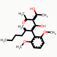 C=C(CCCC)/C(=C(O)\C(C(C)=O)=C(/C)O)c1c(OC)cccc1OC